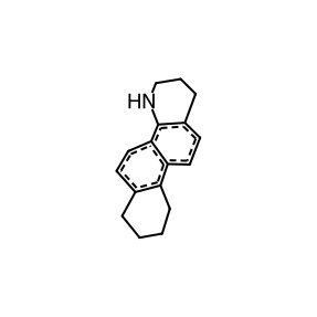 c1cc2c3c(ccc2c2c1CCCC2)CCCN3